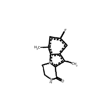 Cc1c2n(c3c(C)cc(F)cc13)CCNC2=O